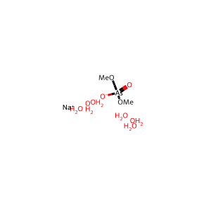 CO[As](=O)([O-])OC.O.O.O.O.O.O.[Na+]